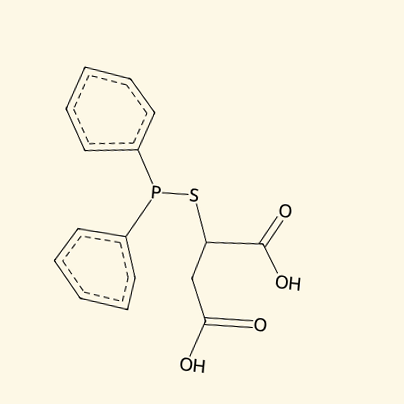 O=C(O)CC(SP(c1ccccc1)c1ccccc1)C(=O)O